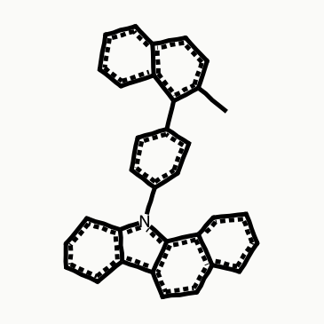 Cc1ccc2ccccc2c1-c1ccc(-n2c3ccccc3c3ccc4ccccc4c32)cc1